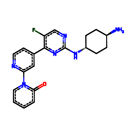 N[C@H]1CC[C@H](Nc2ncc(F)c(-c3ccnc(-n4ccccc4=O)c3)n2)CC1